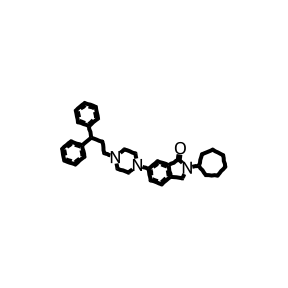 O=C1c2cc(N3CCN(CCC(c4ccccc4)c4ccccc4)CC3)ccc2CN1C1CCCCCC1